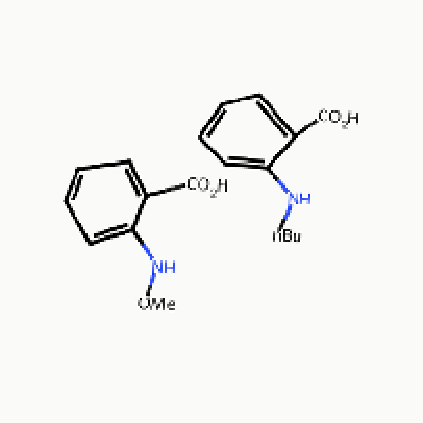 CCCCNc1ccccc1C(=O)O.CONc1ccccc1C(=O)O